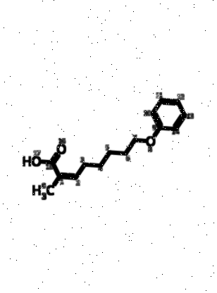 CC(=CCCCCCOc1ccccc1)C(=O)O